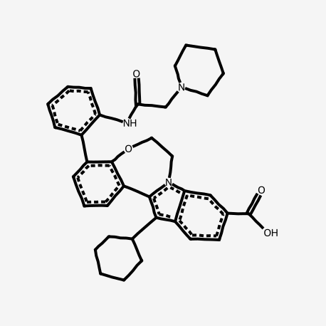 O=C(CN1CCCCC1)Nc1ccccc1-c1cccc2c1OCCn1c-2c(C2CCCCC2)c2ccc(C(=O)O)cc21